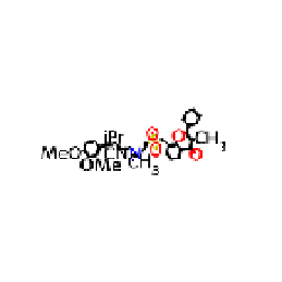 COc1ccc(C(C#N)(CCCN(C)CCS(=O)(=O)Cc2cccc3c(=O)c(C)c(-c4ccccc4)oc23)C(C)C)cc1OC